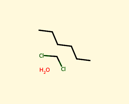 CCCCCC.ClCCl.O